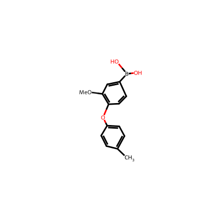 COc1cc(B(O)O)ccc1Oc1ccc(C)cc1